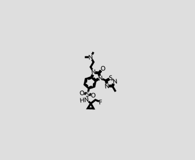 Cc1nsc(-n2c(=O)n(CCN(C)C)c3ccc(S(=O)(=O)NC4(CF)CC4)cc32)n1